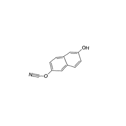 N#COc1ccc2cc(O)ccc2c1